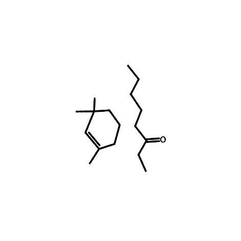 CC1=CC(C)(C)CCC1.CCCCCC(=O)CC